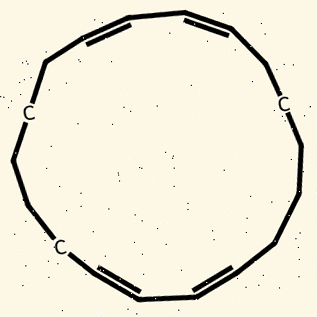 C1=CCCCCCC=CC=CCCCCCC=C1